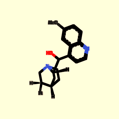 CC[C@H]1CN2CC[C@H]1C[C@H]2C(O)c1ccnc2ccc(OC)cc12